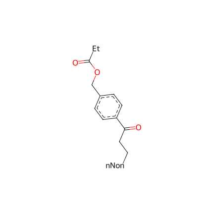 CCCCCCCCCCCC(=O)c1ccc(COC(=O)CC)cc1